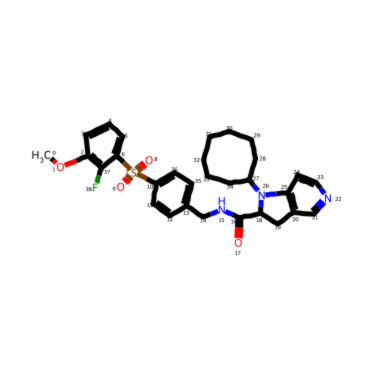 COc1cccc(S(=O)(=O)c2ccc(CNC(=O)C3Cc4cnccc4N3C3CCCCCCC3)cc2)c1F